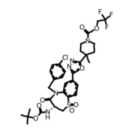 CC(C)(C)OC(=O)N[C@H]1CS(=O)(=O)c2ccc(-c3nnc(C4(C)CCN(C(=O)OCC(F)(F)F)CC4)o3)cc2N(Cc2ccc(Cl)cc2)C1=O